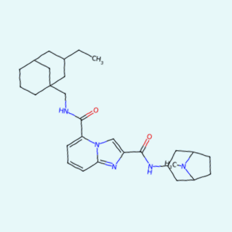 CCC1CC2CCCC(CNC(=O)c3cccc4nc(C(=O)NC5CC6CCC(C5)N6C)cn34)(C1)C2